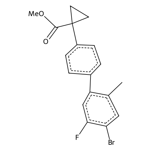 COC(=O)C1(c2ccc(-c3cc(F)c(Br)cc3C)cc2)CC1